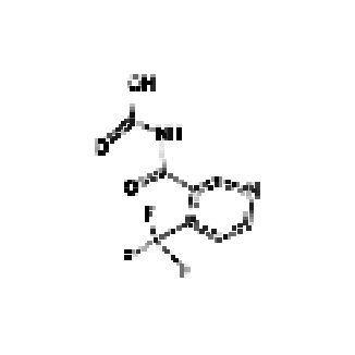 O=C(O)NC(=O)c1cnccc1C(F)(F)F